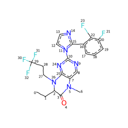 CCC1C(=O)N(C)c2cnc(-n3ccnc3-c3cccc(F)c3F)nc2N1CCC(F)(F)F